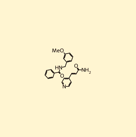 COc1cccc(CNC(=O)c2ccccc2)c1.NC(=O)/C=C/c1ccncc1